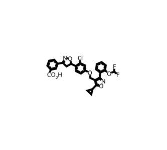 O=C(O)c1cccc(C2=NOC(c3ccc(OCc4c(-c5ccccc5OC(F)F)noc4C4CC4)cc3Cl)C2)c1